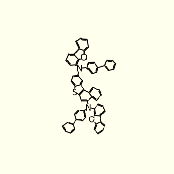 c1ccc(-c2ccc(N(c3ccc4sc5cc(N(c6ccc(-c7ccccc7)cc6)c6cccc7c6oc6ccccc67)c6ccccc6c5c4c3)c3cccc4c3oc3ccccc34)cc2)cc1